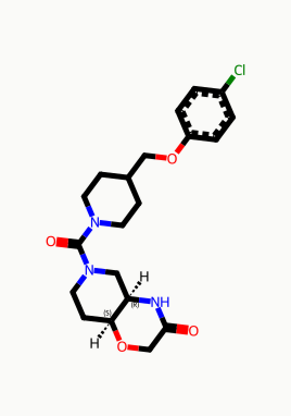 O=C1CO[C@H]2CCN(C(=O)N3CCC(COc4ccc(Cl)cc4)CC3)C[C@H]2N1